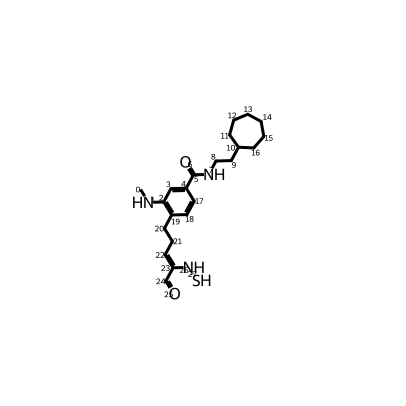 CNc1cc(C(=O)NCCC2CCCCCC2)ccc1CC/C=C(/C=O)NS